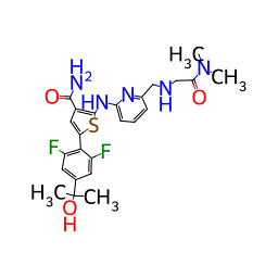 CN(C)C(=O)CNCc1cccc(Nc2sc(-c3c(F)cc(C(C)(C)O)cc3F)cc2C(N)=O)n1